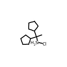 CC([SiH2]Cl)(C1CCCC1)C1CCCC1